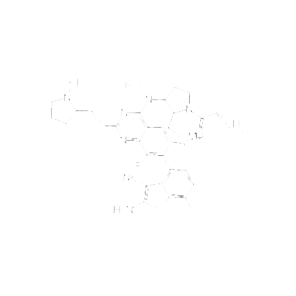 C=CC(=O)N1CCC(N(C)c2nc(OCC3CCCN3C)nc3c(F)c(-c4ccc(F)c5sc(N)c(C#N)c45)c(Cl)cc23)C1COC